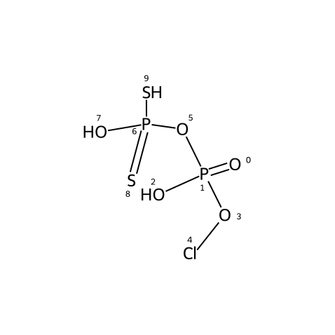 O=P(O)(OCl)OP(O)(=S)S